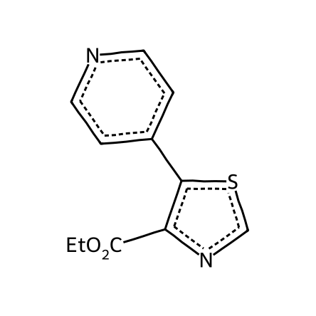 CCOC(=O)c1ncsc1-c1ccncc1